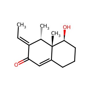 C/C=C1/C(=O)C=C2CCC[C@H](O)[C@@]2(C)[C@H]1C